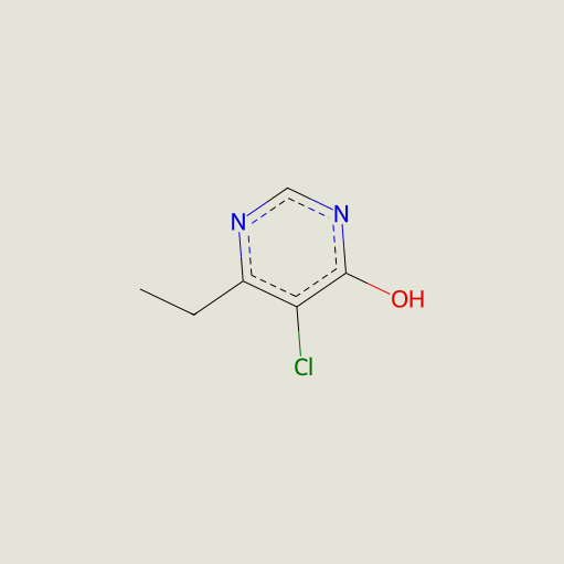 CCc1ncnc(O)c1Cl